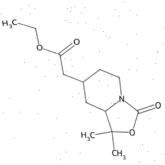 CCOC(=O)CC1CCN2C(=O)OC(C)(C)C2C1